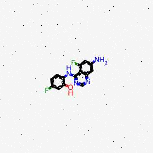 Nc1cc(F)c2c(Nc3ccc(F)cc3O)ncnc2c1